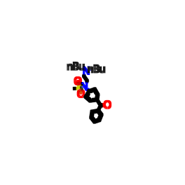 CCCCN(CCCC)CCN(c1ccc(C(=O)c2ccccc2)cc1)S(C)(=O)=O